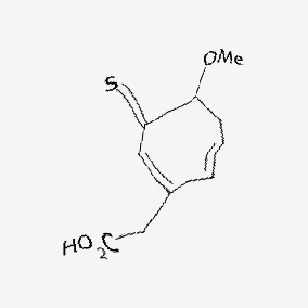 COC1C=CC(CC(=O)O)=CC1=S